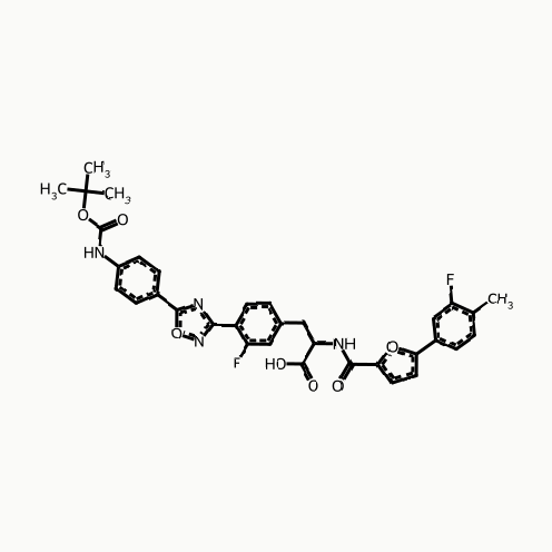 Cc1ccc(-c2ccc(C(=O)NC(Cc3ccc(-c4noc(-c5ccc(NC(=O)OC(C)(C)C)cc5)n4)c(F)c3)C(=O)O)o2)cc1F